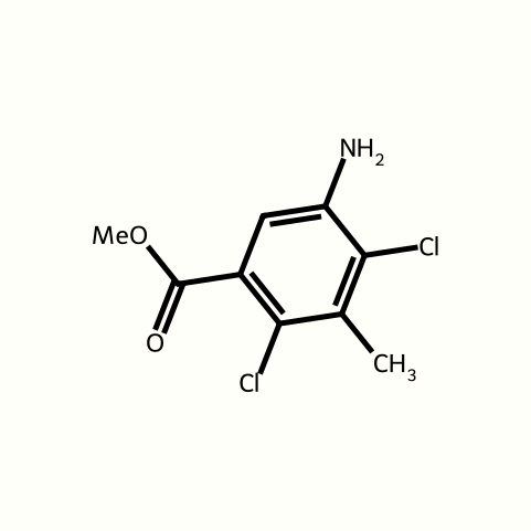 COC(=O)c1cc(N)c(Cl)c(C)c1Cl